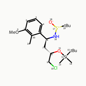 COc1cccc([C@H](C[C@@H](CCl)O[Si](C)(C)C(C)(C)C)N[S@@+]([O-])C(C)(C)C)c1C